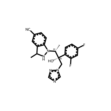 CC1NN([C@H](C)[C@](O)(Cn2cncn2)c2ccc(F)cc2F)c2ccc(C#N)cc21